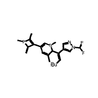 CCC(C)/C=C(/c1cnn(C(F)F)c1)C1B(C)C=C(C2=C(C)P(C)C2C)C=C1C